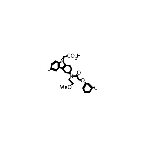 COCCN(C(=O)COc1cccc(Cl)c1)C1CCc2c(c3cc(F)ccc3n2CC(=O)O)C1